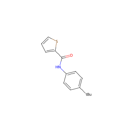 CC(C)(C)c1ccc(NC(=O)c2cccs2)cc1